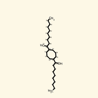 CCCCCCCCCC(O)C1CCCC(C(O)CCCCCCCCC)CCC1